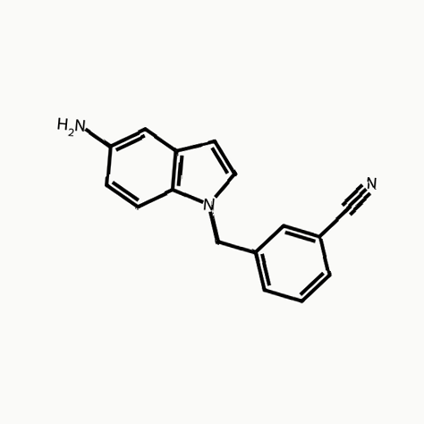 N#Cc1cccc(Cn2ccc3cc(N)ccc32)c1